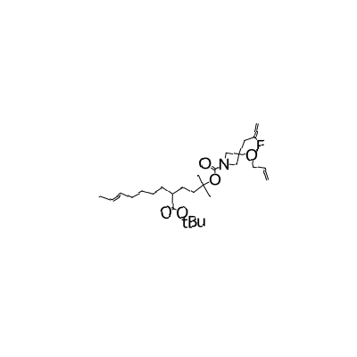 C=CCOC1(CC(=C)F)CN(C(=O)OC(C)(C)CCC(CCCCC=CC)C(=O)OC(C)(C)C)C1